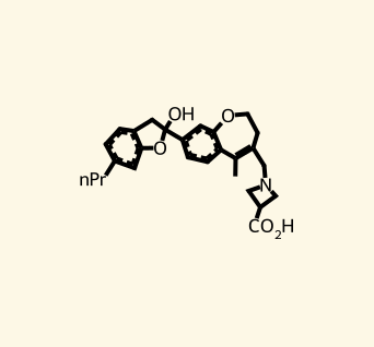 CCCc1ccc2c(c1)OC(O)(c1ccc3c(c1)OCCC(CN1CC(C(=O)O)C1)=C3C)C2